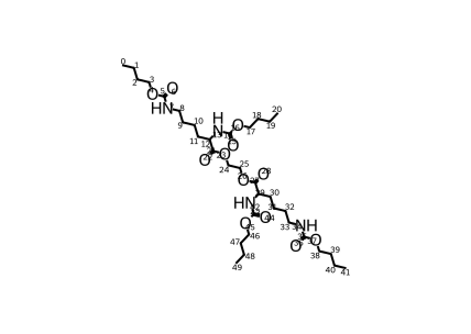 CCCCOC(=O)NCCCCC(NC(=O)OCCCC)C(=O)OCCOC(=O)C(CCCCNC(=O)OCCCC)NC(=O)OCCCC